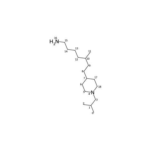 CC(C)CN1CCC(CCC(C)CCCCN)CC1